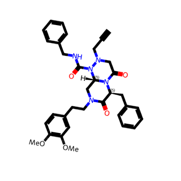 C#CCN1CC(=O)N2[C@@H](Cc3ccccc3)C(=O)N(CCc3ccc(OC)c(OC)c3)C[C@@H]2N1C(=O)NCc1ccccc1